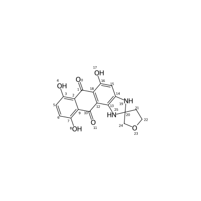 O=C1c2c(O)ccc(O)c2C(=O)c2c3c(cc(O)c21)NC1(CCOC1)N3